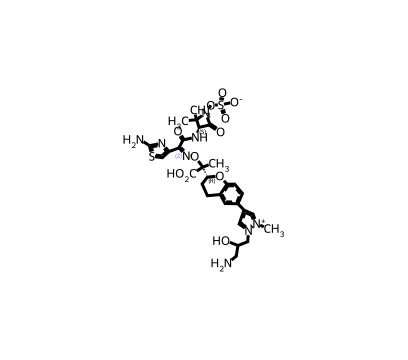 C[n+]1cc(-c2ccc3c(c2)CC[C@H](C(C)(O/N=C(\C(=O)N[C@@H]2C(=O)N(OS(=O)(=O)[O-])C2(C)C)c2csc(N)n2)C(=O)O)O3)cn1CC(O)CN